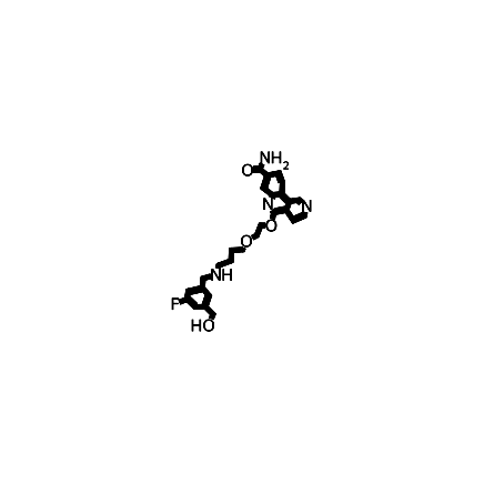 NC(=O)c1ccc2c(c1)nc(OCCOCCCCNCc1cc(F)cc(CO)c1)c1ccncc12